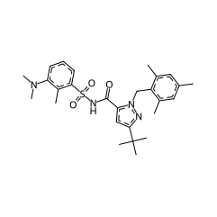 Cc1cc(C)c(Cn2nc(C(C)(C)C)cc2C(=O)NS(=O)(=O)c2cccc(N(C)C)c2C)c(C)c1